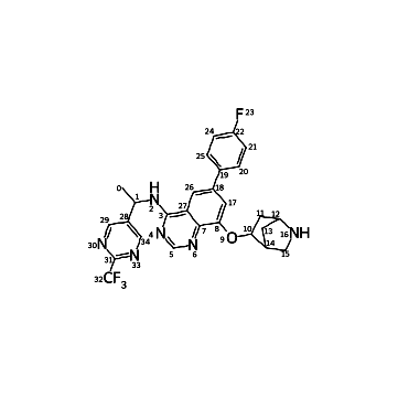 CC(Nc1ncnc2c(OC3CC4CC3CN4)cc(-c3ccc(F)cc3)cc12)c1cnc(C(F)(F)F)nc1